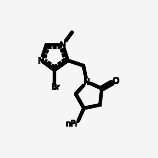 CCCC1CC(=O)N(Cc2c(Br)ncn2C)C1